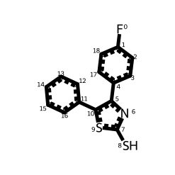 Fc1ccc(-c2nc(S)sc2-c2ccccc2)cc1